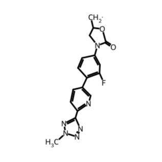 [CH2]C1CN(c2ccc(-c3ccc(-c4nnn(C)n4)nc3)c(F)c2)C(=O)O1